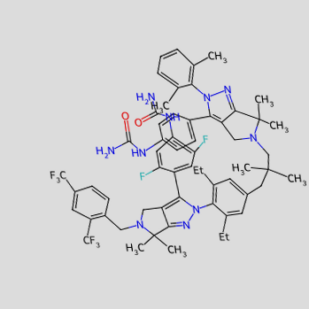 CCc1cc(CC(C)(C)CN2Cc3c(nn(-c4c(C)cccc4C)c3-c3ccc(NC(N)=O)cc3)C2(C)C)cc(CC)c1-n1nc2c(c1-c1cc(F)c(NC(N)=O)cc1F)CN(Cc1ccc(C(F)(F)F)cc1C(F)(F)F)C2(C)C